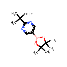 CCOC(=O)C(C)(C)c1ncc(B2OC(C)(C)C(C)(C)O2)cn1